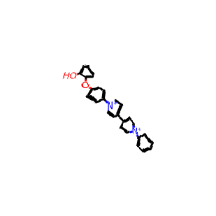 Oc1ccccc1Oc1ccc(-[n+]2ccc(-c3cc[n+](-c4ccccc4)cc3)cc2)cc1